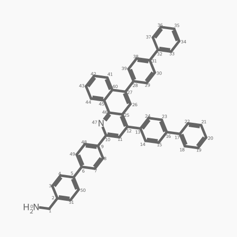 NCc1ccc(-c2ccc(-c3cc(-c4ccc(-c5ccccc5)cc4)c4cc(-c5ccc(-c6ccccc6)cc5)c5ccccc5c4n3)cc2)cc1